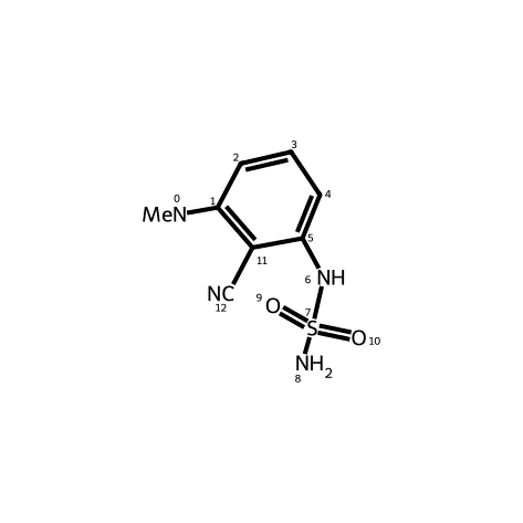 CNc1cccc(NS(N)(=O)=O)c1C#N